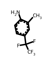 Cc1cc(C(F)(F)C(F)(F)F)ccc1N